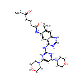 COC(=O)CCCC(=O)Nc1cc2c(Nc3nc(N4CCOCC4)cc(N4CCOCC4)n3)ncnc2cc1OC